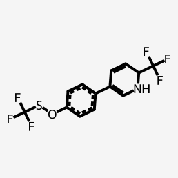 FC(F)(F)SOc1ccc(C2=CNC(C(F)(F)F)C=C2)cc1